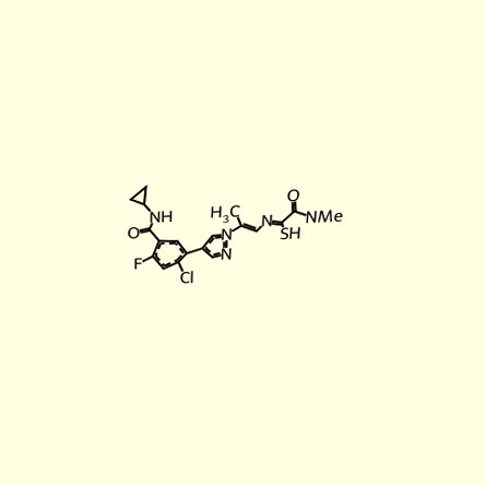 CNC(=O)/C(S)=N/C=C(\C)n1cc(-c2cc(C(=O)NC3CC3)c(F)cc2Cl)cn1